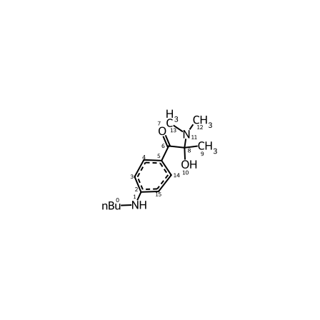 CCCCNc1ccc(C(=O)C(C)(O)N(C)C)cc1